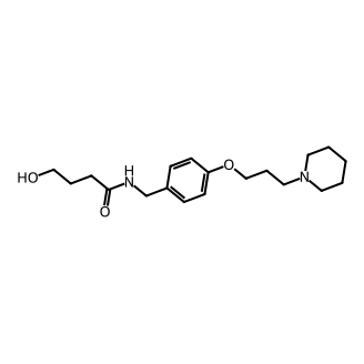 O=C(CCCO)NCc1ccc(OCCCN2CCCCC2)cc1